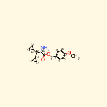 COc1ccc(COC(=O)[C@@H](N)C(C2CC2)C2CC2)cc1